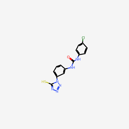 O=C(Nc1ccc(Cl)cc1)Nc1cccc(-n2nnnc2S)c1